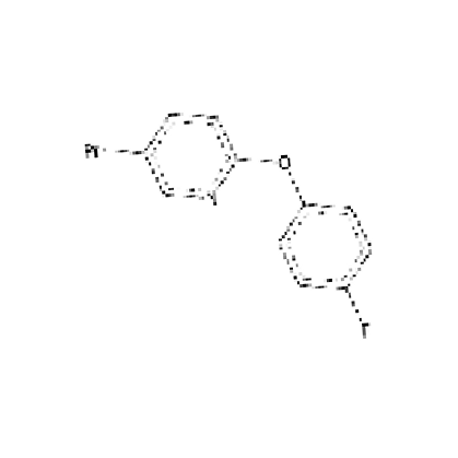 CC(C)c1ccc(Oc2ccc(F)cc2)nc1